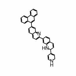 C1=CC(C2C=Cc3ccc(-c4ccc5ccc(-c6cc7ccccc7c7ccccc67)cc5n4)cc3N2)=CCN1